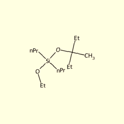 CCC[Si](CCC)(OCC)OC(C)(CC)CC